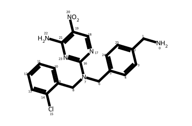 NCc1ccc(CN(Cc2ccccc2Cl)c2ncc([N+](=O)[O-])c(N)n2)cc1